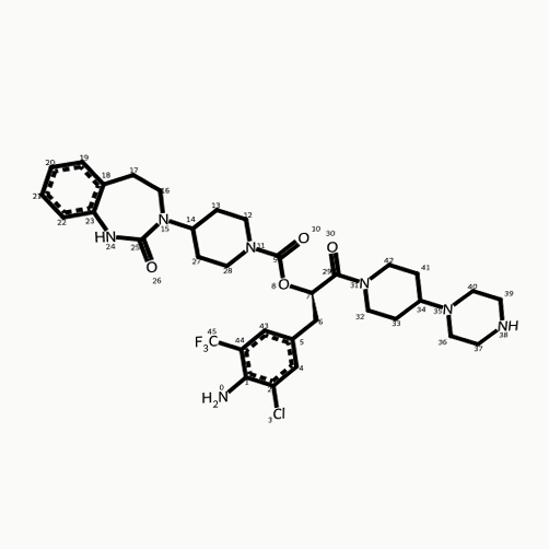 Nc1c(Cl)cc(C[C@@H](OC(=O)N2CCC(N3CCc4ccccc4NC3=O)CC2)C(=O)N2CCC(N3CCNCC3)CC2)cc1C(F)(F)F